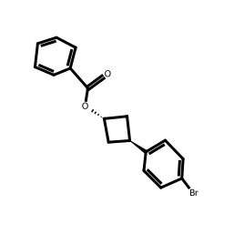 O=C(O[C@H]1C[C@H](c2ccc(Br)cc2)C1)c1ccccc1